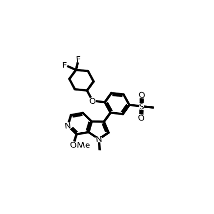 COc1nccc2c(-c3cc(S(C)(=O)=O)ccc3OC3CCC(F)(F)CC3)cn(C)c12